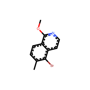 COc1nccc2c(Br)c(C)ccc12